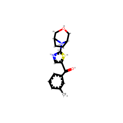 O=C(c1cccc(C(F)(F)F)c1)c1cnc(N2C3CCC2COC3)s1